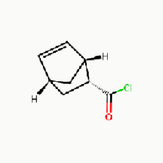 O=C(Cl)[C@@H]1C[C@@H]2C=C[C@H]1C2